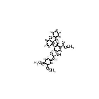 COC(=O)c1cc(NC(=O)Nc2ccc(OC)c(OC)c2)ccc1OC(c1ccccc1)c1ccccc1Cl